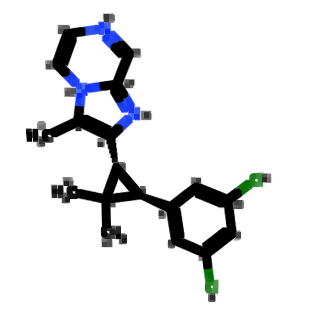 Cc1c([C@@H]2[C@@H](c3cc(Cl)cc(Cl)c3)C2(C)C)nc2cnccn12